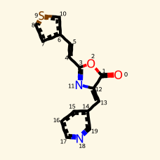 O=C1OC(/C=C/c2ccsc2)=NC/1=C\c1cccnc1